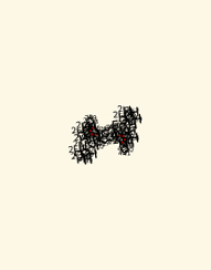 [2H]c1c([2H])c([2H])c(-c2cc(F)c(N(c3ccc(-c4ccccc4)cc3)c3ccc4ccc5c(N(c6ccc(-c7ccccc7)cc6)c6c(F)cc(-c7c([2H])c([2H])c([2H])c([2H])c7[2H])cc6-c6c([2H])c([2H])c([2H])c([2H])c6[2H])ccc6ccc3c4c65)c(-c3c([2H])c([2H])c([2H])c([2H])c3[2H])c2)c([2H])c1[2H]